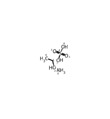 CCO.O=S(=O)(O)O.[AlH3]